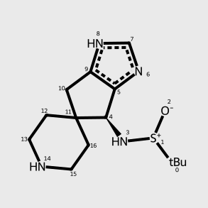 CC(C)(C)[S+]([O-])N[C@@H]1c2nc[nH]c2CC12CCNCC2